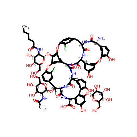 CCCCCC(=O)NC1[C@H](Oc2c3cc4cc2Oc2ccc(cc2Cl)[C@@H](O[C@@H]2OC(CO)[C@@H](O)C(O)[C@@H]2NC(C)=O)[C@@H]2NC(=O)[C@H](NC(=O)[C@@H]4NC(=O)[C@H]4NC(=O)[C@@H](Cc5ccc(c(Cl)c5)O3)NC(=O)[C@H](N)c3ccc(O)c(c3)Oc3cc(O)cc4c3)c3ccc(O)c(c3)-c3c(O[C@H]4OC(CO)[C@@H](O)[C@@H](O)C4O)cc(O)cc3[C@@H](C(=O)O)NC2=O)OC(CO)[C@@H](O)[C@@H]1O